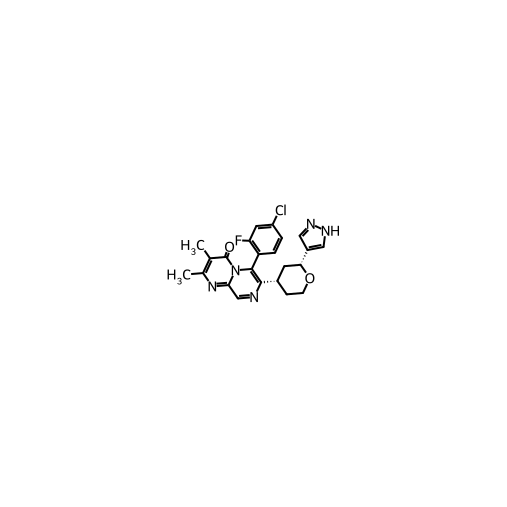 Cc1nc2cnc([C@H]3CCO[C@@H](c4cn[nH]c4)C3)c(-c3ccc(Cl)cc3F)n2c(=O)c1C